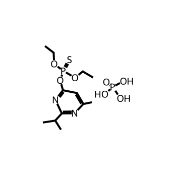 CCOP(=S)(OCC)Oc1cc(C)nc(C(C)C)n1.O=P(O)(O)O